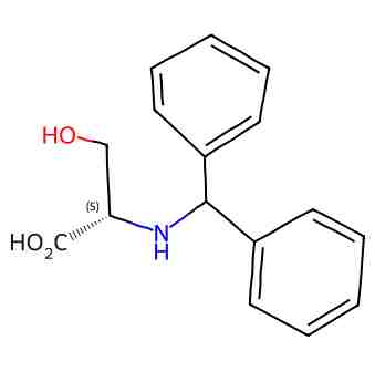 O=C(O)[C@H](CO)NC(c1ccccc1)c1ccccc1